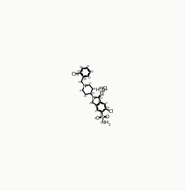 Cl.NS(=O)(=O)c1cc2c(cc1Cl)C(=O)N(C1CCN(Cc3ccccc3Cl)CC1)C2.O